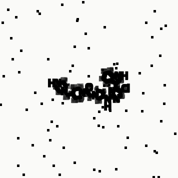 O=C(CN1CC[C@@H](Nc2ncc(Cl)c(-c3c[nH]c4ccccc34)n2)C1)N1CCC(CN2CCNCC2)CC1